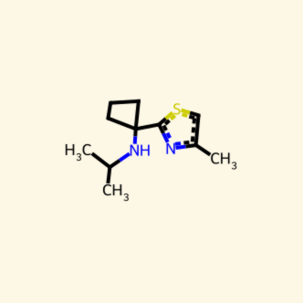 Cc1csc(C2(NC(C)C)CCC2)n1